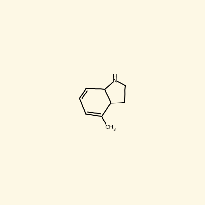 CC1=CC=CC2NCCC12